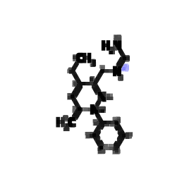 C=C1C=C(CC)C(C/N=C\N)=NN1c1ccccc1